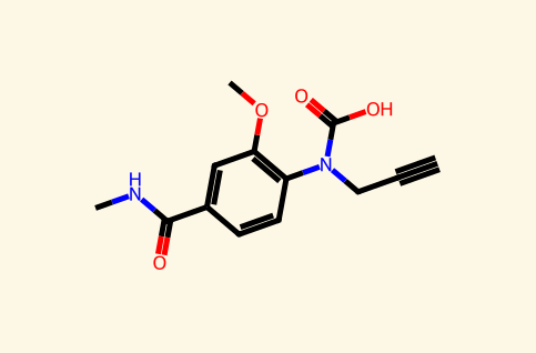 C#CCN(C(=O)O)c1ccc(C(=O)NC)cc1OC